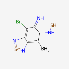 BC1=C2N=S=NC2=C(Br)C(=N)C1NS